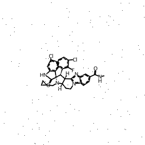 CNC(=O)c1ccc2c(c1)nc1n2CC[C@H]2[C@@H]1[C@H](c1cccc(Cl)c1F)[C@]1(C(=O)Nc3cc(Cl)ccc31)N2CC1CC1